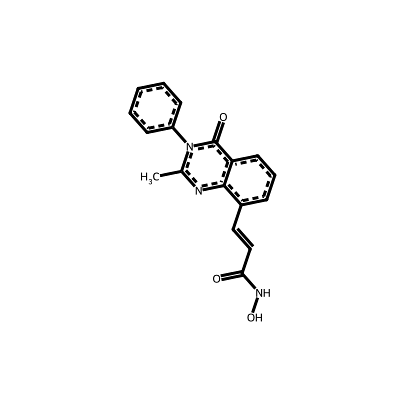 Cc1nc2c(C=CC(=O)NO)cccc2c(=O)n1-c1ccccc1